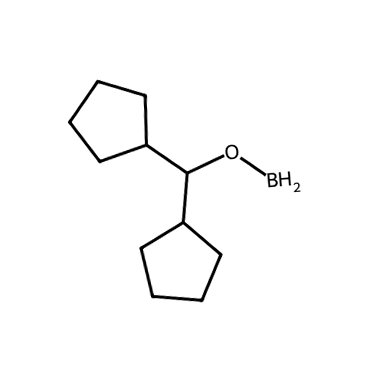 BOC(C1CCCC1)C1CCCC1